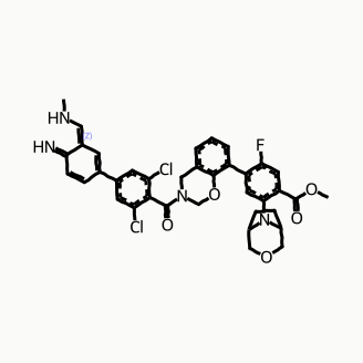 CN/C=C1/C=C(c2cc(Cl)c(C(=O)N3COc4c(cccc4-c4cc(N5C6CCC5COC6)c(C(=O)OC)cc4F)C3)c(Cl)c2)C=CC1=N